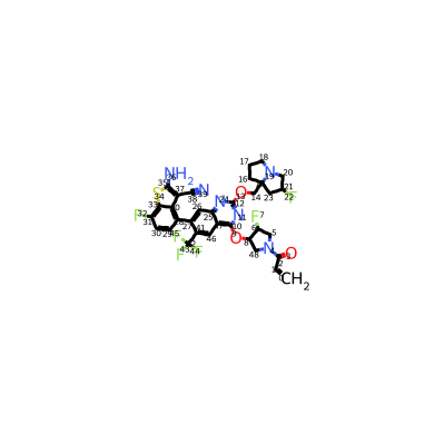 C=CC(=O)N1CC(F)C(Oc2nc(OCC34CCCN3CC(F)C4)nc3cc(-c4ccc(F)c5sc(N)c(C#N)c45)c(C(F)(F)F)cc23)C1